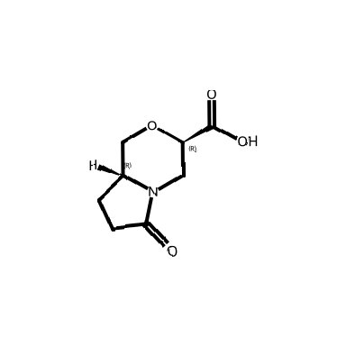 O=C(O)[C@H]1CN2C(=O)CC[C@@H]2CO1